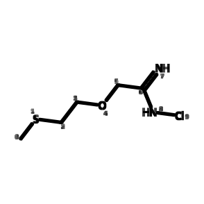 CSCCOCC(=N)NCl